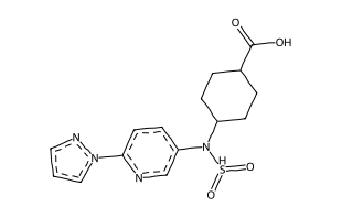 O=C(O)C1CCC(N(c2ccc(-n3cccn3)nc2)[SH](=O)=O)CC1